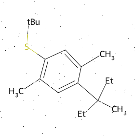 CCC(C)(CC)c1cc(C)c(SC(C)(C)C)cc1C